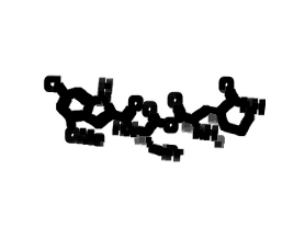 COc1cc(Cl)cc2[nH]c(C(=O)N[C@@H](CC(C)C)C(=O)OC(=O)[C@@H](N)C[C@@H]3CCCNC3=O)cc12